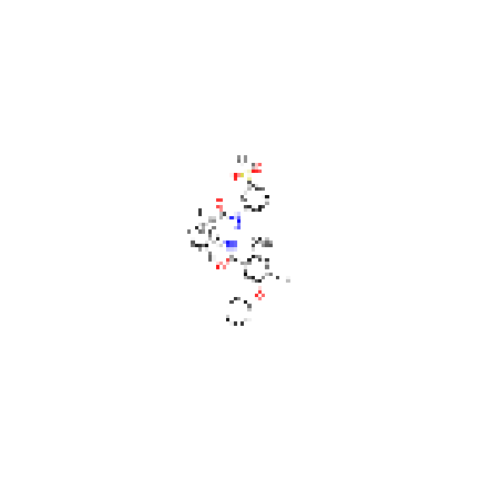 COc1cc(C#N)c(OC2CCCCC2)cc1C(=O)N[C@@H]1[C@H]2CC[C@H](C2)[C@@H]1C(=O)Nc1cccc(S(=O)(=O)C(F)(F)F)c1